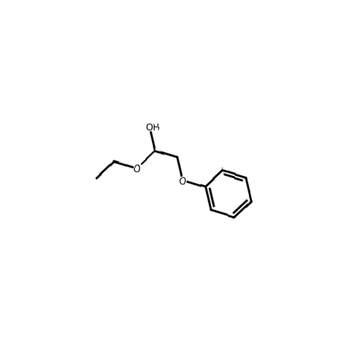 CCOC(O)COc1[c]cccc1